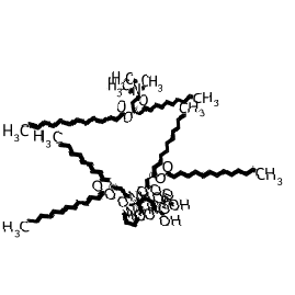 CCCCCCCCCCCCCC(=O)O[C@H](CCCCCCCCCCC)CC(=O)N[C@@]1(CN2CCCC2)[C@H](O)O[C@H](CO)[C@@H](OP(=O)(O)O)[C@@H]1OC(=O)C[C@@H](CCCCCCCCCCC)OC(=O)CCCCCCCCCCCCC.CCCCCCCCCCCCCC(=O)O[C@H](CCCCCCCCCCC)CC(=O)[N+](CC)(CC)CC